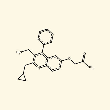 NCc1c(CC2CC2)nc2ccc(OCC(N)=O)cc2c1-c1ccccc1